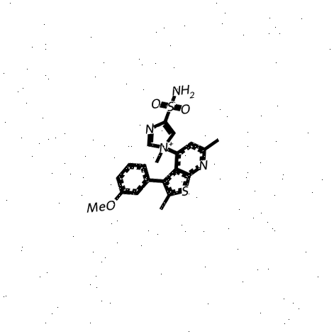 COc1cccc(-c2c(C)sc3nc(C)cc([N+]4(C)C=NC(S(N)(=O)=O)=C4)c23)c1